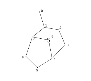 CC1CCC2CCC1S2